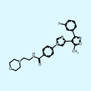 Cc1onc(-c2cccc(F)c2)c1-c1cn(-c2ccc(C(=O)NCCN3CCOCC3)cc2)cn1